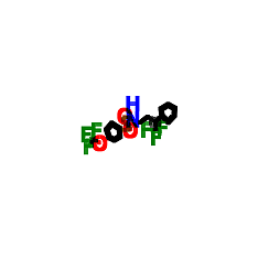 O=S(=O)(NCC[C@@H](c1ccccc1)C(F)(F)F)c1ccc(OC(F)(F)F)cc1